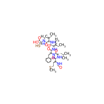 CC[C@H](C)[C@H](NC(=O)[C@H](Cc1ccccc1)NC(=O)[C@H](CC(C)C)NC(=O)[C@H](CCSC)NC=O)C(=O)N[C@H](C(=O)N[C@@H](CS)C(=O)O)[C@@H](C)CC